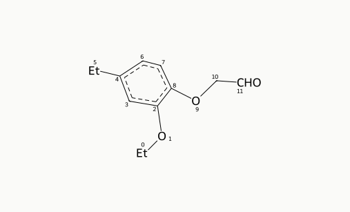 CCOc1cc(CC)ccc1OCC=O